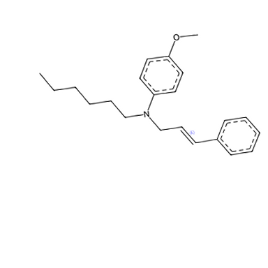 CCCCCCN(C/C=C/c1ccccc1)c1ccc(OC)cc1